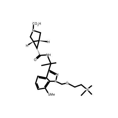 CSc1cccc2c(C(C)(C)NC(=O)[C@@H]3[C@@H]4CN(C(=O)O)C[C@@H]43)nn(COCC[Si](C)(C)C)c12